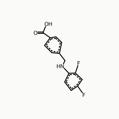 O=C(O)c1ccc(CNc2ccc(F)cc2F)cc1